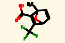 CC12C=CC(O1)C(C(F)(F)F)=C2C(=O)O